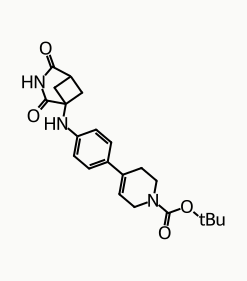 CC(C)(C)OC(=O)N1CC=C(c2ccc(NC34CC(C3)C(=O)NC4=O)cc2)CC1